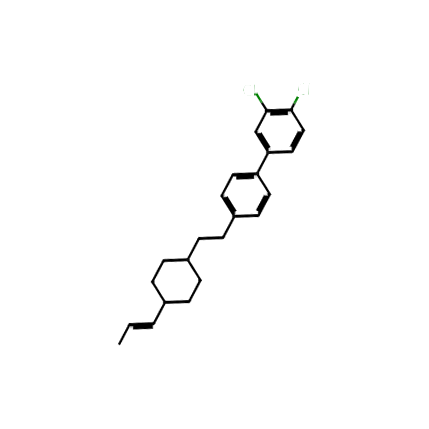 CC=CC1CCC(CCc2ccc(-c3ccc(Cl)c(Cl)c3)cc2)CC1